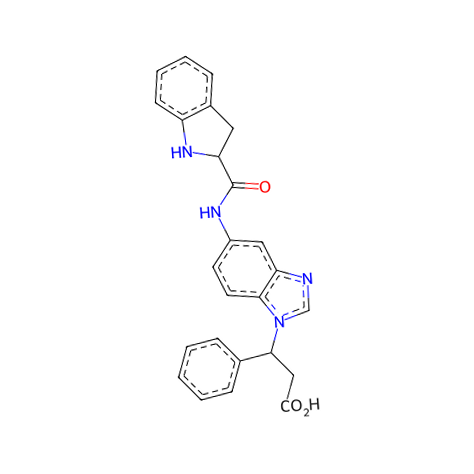 O=C(O)CC(c1ccccc1)n1cnc2cc(NC(=O)C3Cc4ccccc4N3)ccc21